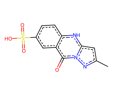 Cc1cc2[nH]c3ccc(S(=O)(=O)O)cc3c(=O)n2n1